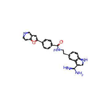 N=C(N)c1c[nH]c2ccc(CCNC(=O)c3ccc(-c4cc5cnccc5o4)cc3)cc12